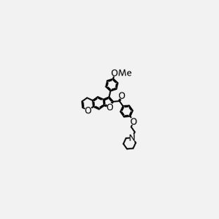 COc1ccc(-c2c(C(=O)c3ccc(OCCN4CCCCC4)cc3)oc3cc4c(cc23)CC=CO4)cc1